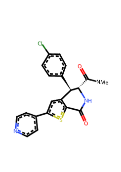 CNC(=O)[C@@H]1NC(=O)c2sc(-c3ccncc3)cc2[C@H]1c1ccc(Cl)cc1